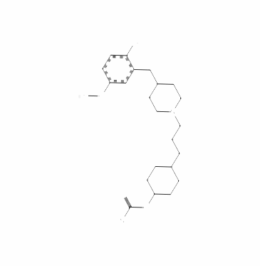 CC(C)Oc1ccc(Br)c(CC2CCN(CCCC3CCC(OC(N)=O)CC3)CC2)c1